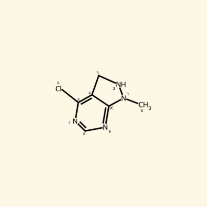 CN1NCc2c(Cl)ncnc21